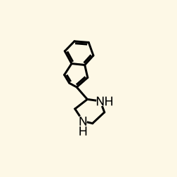 c1ccc2cc(C3CNCCN3)ccc2c1